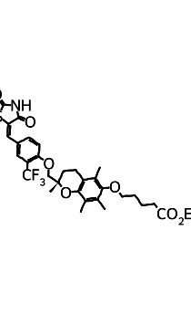 CCOC(=O)CCCCOc1c(C)c(C)c2c(c1C)CC[C@@](C)(COc1ccc(/C=C3/SC(=O)NC3=O)cc1C(F)(F)F)O2